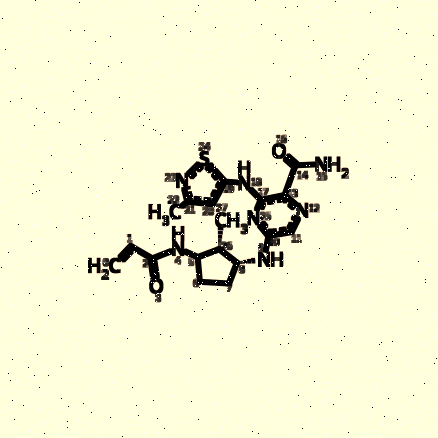 C=CC(=O)NC1CC[C@@H](Nc2cnc(C(N)=O)c(Nc3cc(C)ns3)n2)[C@H]1C